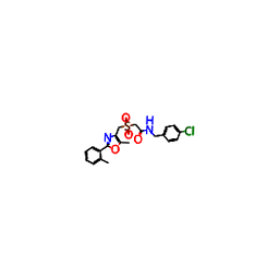 Cc1ccccc1-c1nc(CS(=O)(=O)CC(=O)NCc2ccc(Cl)cc2)c(C)o1